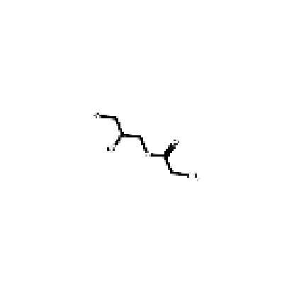 CCC(=O)OCC(O)C[O]